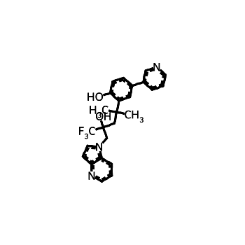 CC(C)(CC(O)(Cn1ccc2ncccc21)C(F)(F)F)c1cc(-c2cccnc2)ccc1O